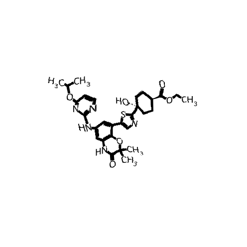 CCOC(=O)[C@H]1CC[C@@](O)(c2ncc(-c3cc(Nc4nccc(OC(C)C)n4)cc4c3OC(C)(C)C(=O)N4)s2)CC1